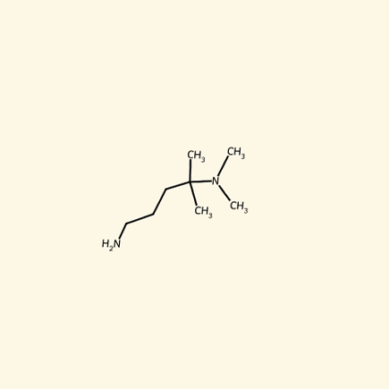 CN(C)C(C)(C)CCCN